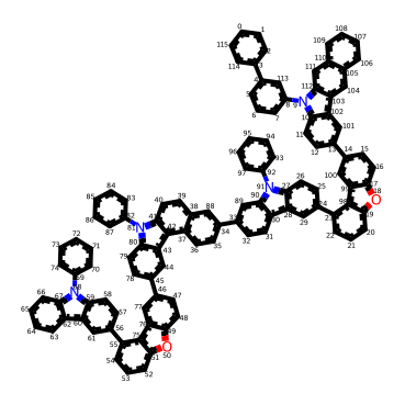 c1ccc(-c2cccc(-n3c4ccc(-c5ccc6oc7cccc(-c8ccc9c(c8)c8ccc(-c%10ccc%11c(ccc%12c%11c%11cc(-c%13ccc%14oc%15cccc(-c%16ccc%17c(c%16)c%16ccccc%16n%17-c%16ccccc%16)c%15c%14c%13)ccc%11n%12-c%11ccccc%11)c%10)cc8n9-c8ccccc8)c7c6c5)cc4c4cc5ccccc5cc43)c2)cc1